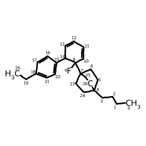 CCCCC12CCC(C3(F)C=CC=CC3c3ccc(CC)cc3)(CC1)CC2